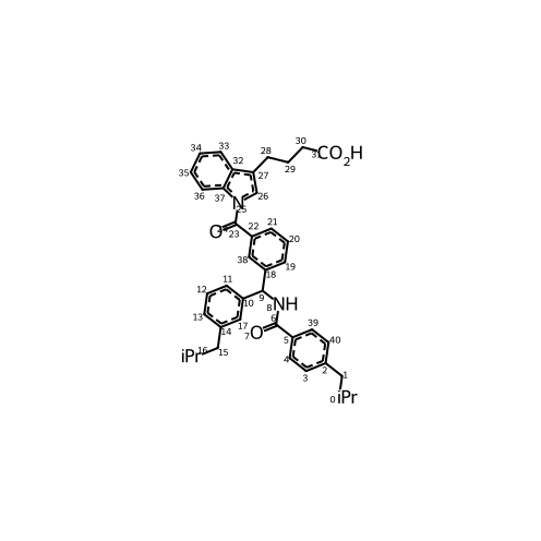 CC(C)Cc1ccc(C(=O)NC(c2cccc(CC(C)C)c2)c2cccc(C(=O)n3cc(CCCC(=O)O)c4ccccc43)c2)cc1